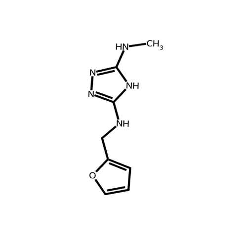 CNc1nnc(NCc2ccco2)[nH]1